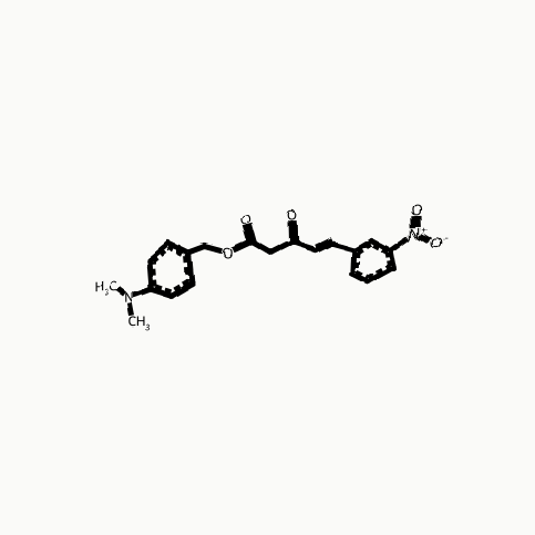 CN(C)c1ccc(COC(=O)CC(=O)C=Cc2cccc([N+](=O)[O-])c2)cc1